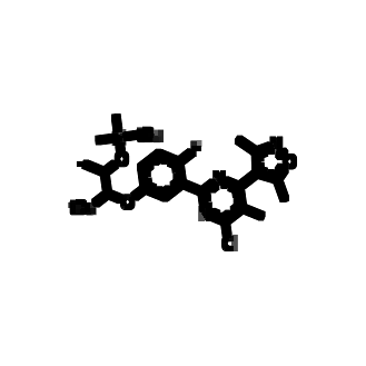 [CH2]C(O[Si](C)(C)C(C)(C)C)C(Oc1ccc(F)c(-c2nc(Cl)c(C)c(-c3c(C)noc3C)n2)c1)C(C)(C)C